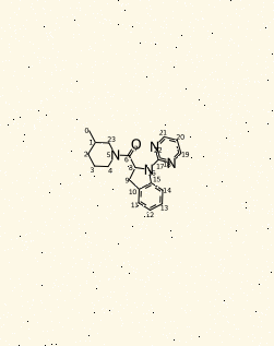 CC1CCCN(C(=O)C2Cc3ccccc3N2c2ncccn2)C1